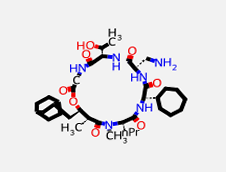 CCC[C@H]1C(=O)N[C@@H](C2CCCCCC2)C(=O)N[C@@H](CN)C(=O)N[C@@H](C(C)O)C(=O)NCC(=O)O[C@H](CC2CC3CCC2CC3)[C@@H](C)C(=O)N1C